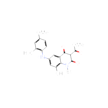 CCN1C(=O)C(C(=O)OC)C(=O)c2cc(Nc3ccc(OC)cc3C)cc(C)c21